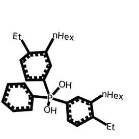 CCCCCCc1cc(P(O)(O)(c2ccccc2)c2ccc(CC)c(CCCCCC)c2)ccc1CC